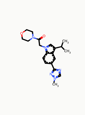 CC(C)c1cn(CC(=O)N2CCOCC2)c2ccc(-c3ncn(C)n3)cc12